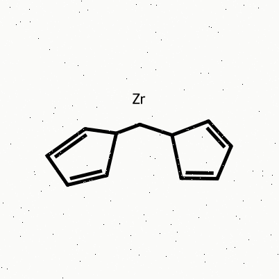 [CH](C1C=CC=C1)C1C=CC=C1.[Zr]